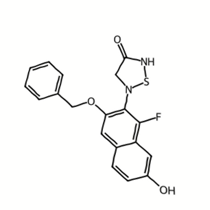 O=C1CN(c2c(OCc3ccccc3)cc3ccc(O)cc3c2F)SN1